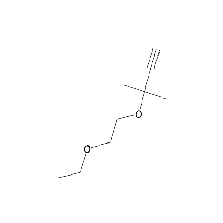 C#CC(C)(C)OCCOCC